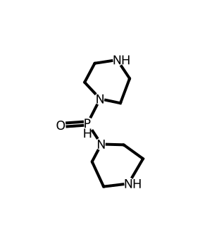 O=[PH](N1CCNCC1)N1CCNCC1